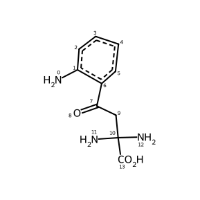 Nc1ccccc1C(=O)CC(N)(N)C(=O)O